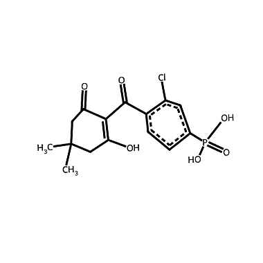 CC1(C)CC(=O)C(C(=O)c2ccc(P(=O)(O)O)cc2Cl)=C(O)C1